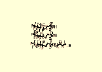 O=S(=O)(O)CCC(F)(F)C(F)(F)C(F)(F)C(F)(F)F.O=S(=O)(O)CCC(F)(F)C(F)(F)C(F)(F)C(F)(F)F.O=S(=O)(O)CCC(F)(F)C(F)(F)C(F)(F)C(F)(F)F.OCCC(O)CO